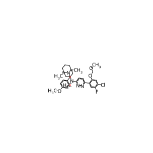 COCOc1cc(Cl)c(F)cc1-c1ccc(N(C)C2C[C@]3(C)CCC[C@](C)(C2)N3Cc2ccc(OC)cc2)nn1